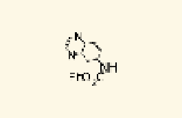 CCOC(=O)Nc1ccc2nccnc2c1